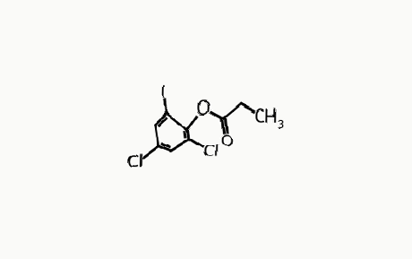 CCC(=O)Oc1c(Cl)cc(Cl)cc1I